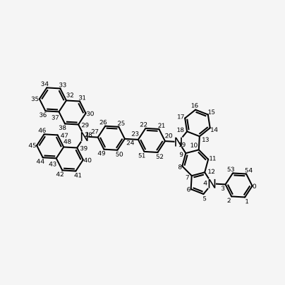 c1ccc(-n2ccc3cc4c(cc32)c2ccccc2n4-c2ccc(-c3ccc(N(c4ccc5ccccc5c4)c4cccc5ccccc45)cc3)cc2)cc1